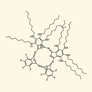 CCCCCCCCNc1c(NCCCCCCCC)c(NCCCCCCCC)c2c(c1NCCCCCCCC)-c1nc-2nc2[nH]c(nc3nc(nc4[nH]c(n1)c1c(F)c(F)c(F)c(F)c41)-c1c(F)c(F)c(F)c(F)c1-3)c1c(NCCCCCCCC)c(NCCCCCCCC)c(NCCCCCCCC)c(NCCCCCCCC)c21